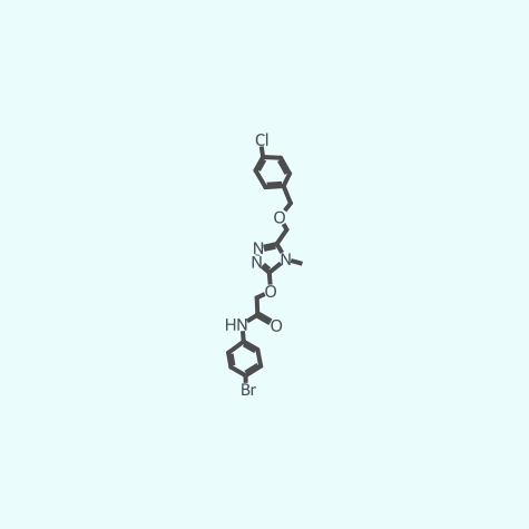 Cn1c(COCc2ccc(Cl)cc2)nnc1OCC(=O)Nc1ccc(Br)cc1